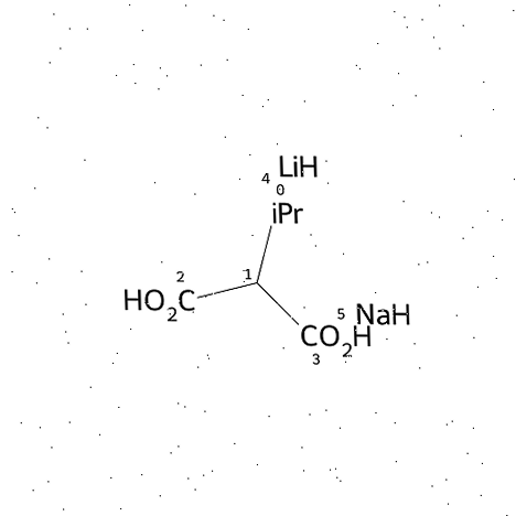 CC(C)C(C(=O)O)C(=O)O.[LiH].[NaH]